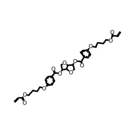 C=CC(=O)OCCCCOc1ccc(C(=O)OC2COC3C(OC(=O)c4ccc(OCCCCOC(=O)C=C)cc4)COC23)cc1